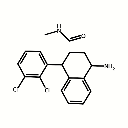 CNC=O.NC1CCC(c2cccc(Cl)c2Cl)c2ccccc21